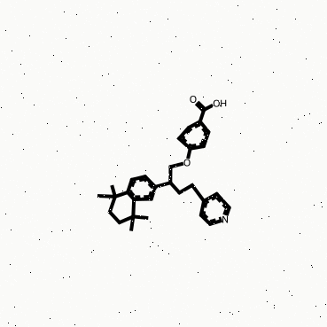 CC1(C)CCC(C)(C)c2cc(C(CCc3ccncc3)COc3ccc(C(=O)O)cc3)ccc21